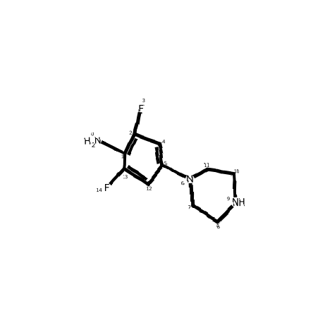 Nc1c(F)cc(N2CCNCC2)cc1F